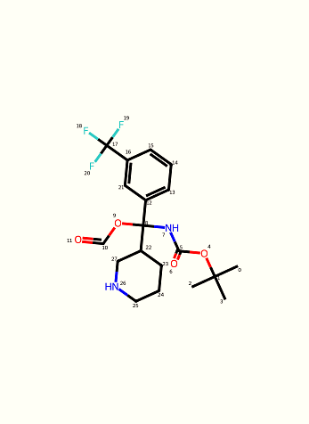 CC(C)(C)OC(=O)NC(OC=O)(c1cccc(C(F)(F)F)c1)C1CCCNC1